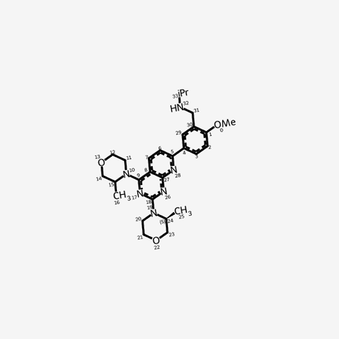 COc1ccc(-c2ccc3c(N4CCOCC4C)nc(N4CCOC[C@@H]4C)nc3n2)cc1CNC(C)C